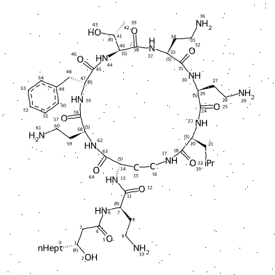 CCCCCCC[C@@H](O)CC(=O)N[C@H](CCN)C(=O)N[C@H]1CCNC(=O)[C@H](CC(C)C)NC(=O)[C@H](CCN)NC(=O)[C@H](CCN)NC(=O)[C@H]([C@@H](C)O)NC(=O)[C@@H](Cc2ccccc2)NC(=O)[C@H](CCN)NC1=O